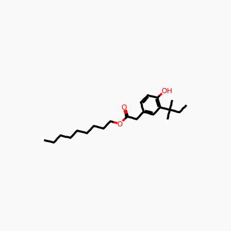 CCCCCCCCCOC(=O)Cc1ccc(O)c(C(C)(C)CC)c1